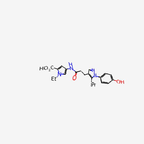 CCn1cc(NC(=O)CCc2cnn(-c3ccc(O)cc3)c2C(C)C)cc1C(=O)O